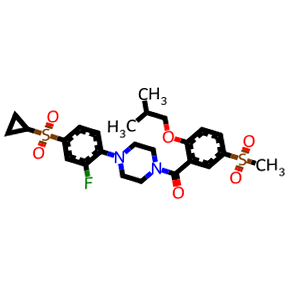 CC(C)COc1ccc(S(C)(=O)=O)cc1C(=O)N1CCN(c2ccc(S(=O)(=O)C3CC3)cc2F)CC1